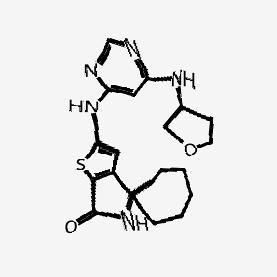 O=C1NC2(CCCCC2)c2cc(Nc3cc(N[C@H]4CCOC4)ncn3)sc21